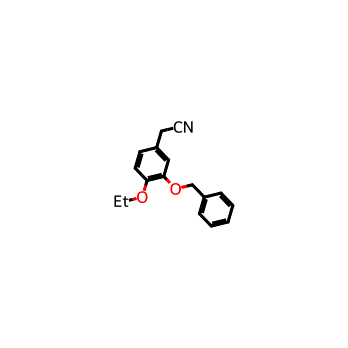 CCOc1ccc(CC#N)cc1OCc1ccccc1